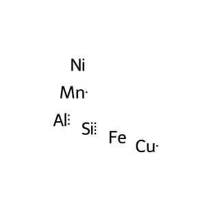 [Al].[Cu].[Fe].[Mn].[Ni].[Si]